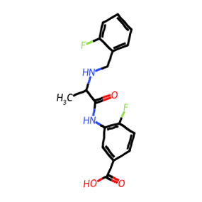 CC(NCc1ccccc1F)C(=O)Nc1cc(C(=O)O)ccc1F